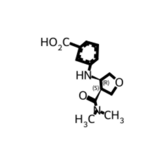 CN(C)C(=O)[C@@H]1COC[C@@H]1Nc1cccc(C(=O)O)c1